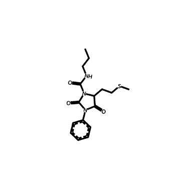 CCCNC(=O)N1C(=O)N(c2ccccc2)C(=O)C1CCSC